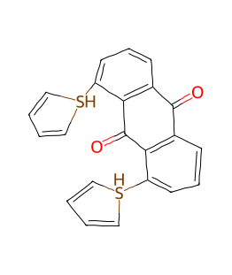 O=C1c2cccc([SH]3C=CC=C3)c2C(=O)c2c1cccc2[SH]1C=CC=C1